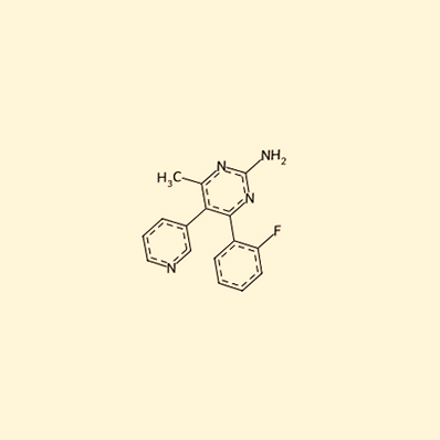 Cc1nc(N)nc(-c2ccccc2F)c1-c1cccnc1